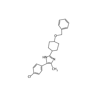 Cc1nc(C2CCC(OCc3ccccc3)CC2)[nH]c1-c1ccc(Cl)cc1